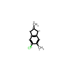 Cc1cc2c(cc1Cl)CC(C)C2